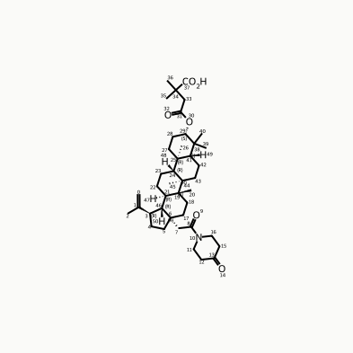 C=C(C)[C@@H]1CC[C@]2(CC(=O)N3CCC(=O)CC3)CC[C@]3(C)[C@H](CC[C@@H]4[C@@]5(C)CC[C@H](OC(=O)CC(C)(C)C(=O)O)C(C)(C)[C@@H]5CC[C@]43C)[C@@H]12